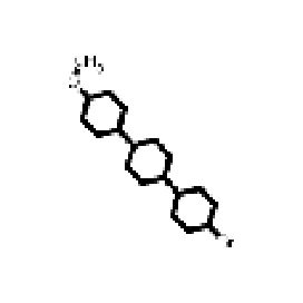 COC1CCC(C2CCC(C3CCC(Br)CC3)CC2)CC1